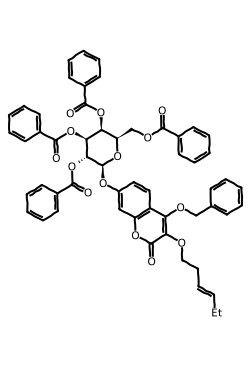 CCC=CCCOc1c(OCc2ccccc2)c2ccc(O[C@@H]3O[C@H](COC(=O)c4ccccc4)[C@H](OC(=O)c4ccccc4)[C@H](OC(=O)c4ccccc4)[C@H]3OC(=O)c3ccccc3)cc2oc1=O